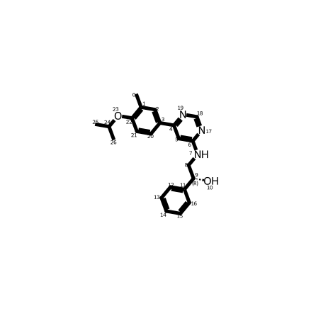 Cc1cc(-c2cc(NC[C@H](O)c3ccccc3)ncn2)ccc1OC(C)C